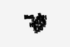 COCCC(=O)Nc1cc(Oc2cnc3[nH]c(=S)n(C)c3c2)ccn1